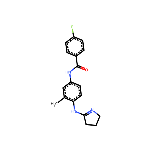 Cc1cc(NC(=O)c2ccc(F)cc2)ccc1NC1=NCCC1